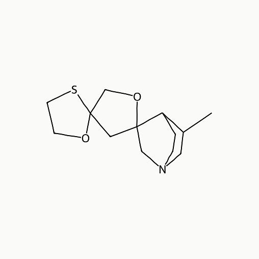 CC1CN2CCC1C1(C2)CC2(CO1)OCCS2